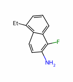 CCc1cccc2c(F)c(N)ccc12